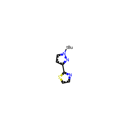 CC(C)(C)n1ccc(-c2nccs2)n1